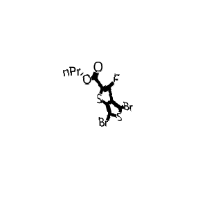 CCCOC(=O)c1sc2c(Br)sc(Br)c2c1F